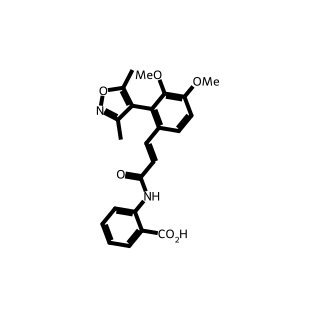 COc1ccc(/C=C/C(=O)Nc2ccccc2C(=O)O)c(-c2c(C)noc2C)c1OC